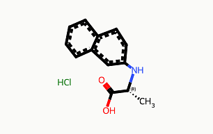 C[C@@H](Nc1ccc2ccccc2c1)C(=O)O.Cl